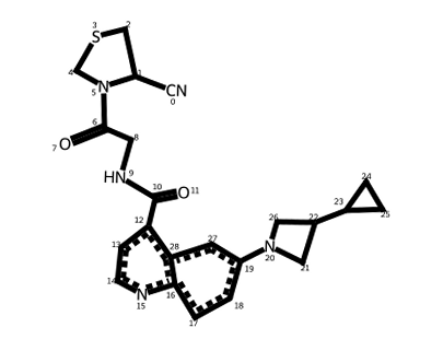 N#CC1CSCN1C(=O)CNC(=O)c1ccnc2ccc(N3CC(C4CC4)C3)cc12